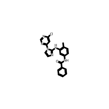 Cc1ccc(NC(=O)c2ccccc2)cc1Nc1nccn1-c1cc(Cl)ncn1